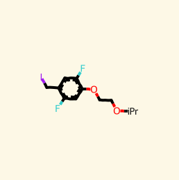 CC(C)OCCOc1cc(F)c(CI)cc1F